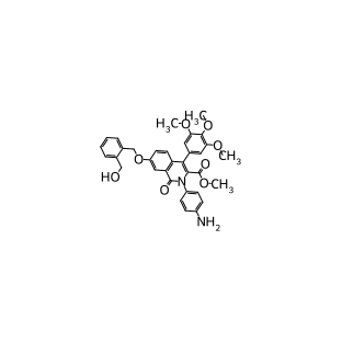 COC(=O)c1c(-c2cc(OC)c(OC)c(OC)c2)c2ccc(OCc3ccccc3CO)cc2c(=O)n1-c1ccc(N)cc1